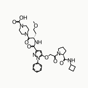 COCC[C@H](NC(=O)c1cc(OCC(=O)N2CCC[C@H]2C(=O)NC2CCC2)n(-c2ccccc2)n1)C(=O)N1CCN(C(=O)O)CC1